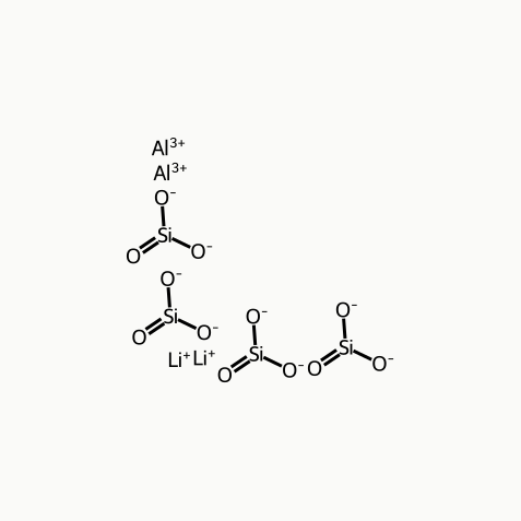 O=[Si]([O-])[O-].O=[Si]([O-])[O-].O=[Si]([O-])[O-].O=[Si]([O-])[O-].[Al+3].[Al+3].[Li+].[Li+]